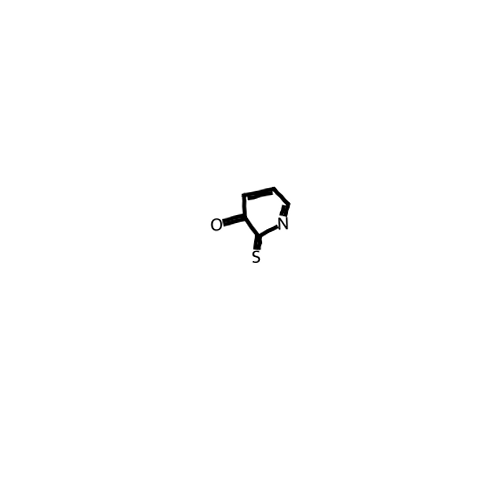 O=C1C=CC=NC1=S